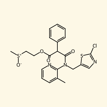 Cc1cccnc1N(Cc1cnc(Cl)s1)C(=O)C(C(=O)OCC[S+](C)[O-])c1ccccc1